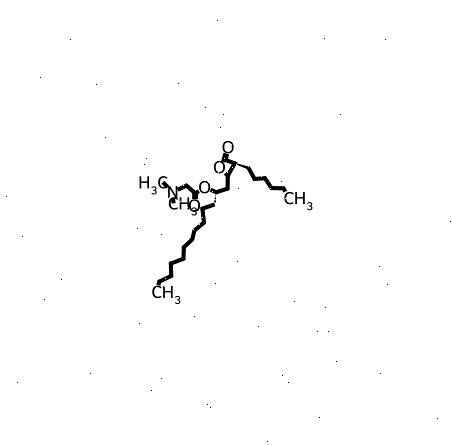 CCCCCCCCCCC[C@@H](CC1OC(=O)[C@H]1CCCCCC)OC(=O)CN(C)C